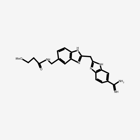 COCCC(=O)NCc1ccc2[nH]c(Cc3nc4ccc(C(=N)N)cc4[nH]3)nc2c1